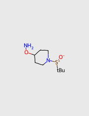 CC(C)(C)[S+]([O-])N1CCC(ON)CC1